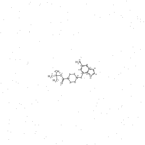 CC(C)(C)OC(=O)N1CCN(Cc2cc(N)cc3ccoc23)CC1